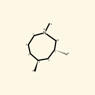 C[C@@H]1C[C@@H](C)CCCN(C)C1